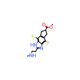 CNCCc1nc2c(F)c3c(c(F)c2[nH]1)CC(C(=O)OC)C3